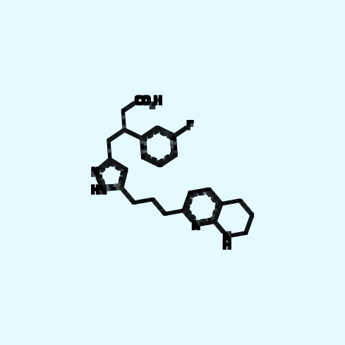 O=C(O)CC(Cc1cc(CCCc2ccc3c(n2)NCCC3)[nH]n1)c1cccc(F)c1